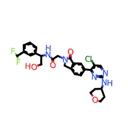 O=C(CN1Cc2ccc(-c3nc(NC4CCOCC4)ncc3Cl)cc2C1=O)NC(CO)c1cccc(C(F)F)c1